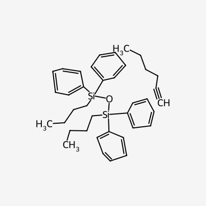 C#CCCCC.CCCC[Si](O[Si](CCCC)(c1ccccc1)c1ccccc1)(c1ccccc1)c1ccccc1